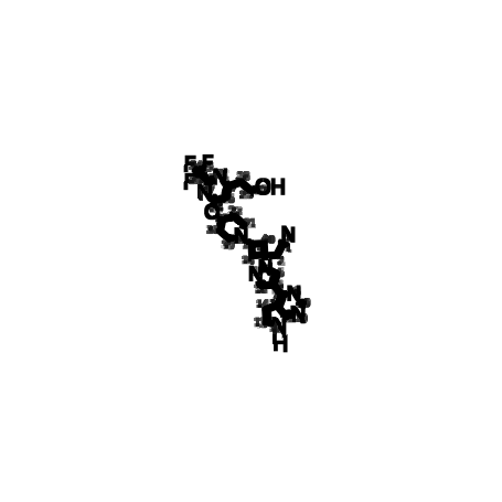 N#CCC1(n2cc(-c3ncnc4[nH]ccc34)cn2)CC(N2CCC(Oc3cc(CCO)nc(C(F)(F)F)n3)CC2)C1